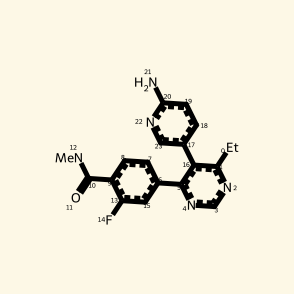 CCc1ncnc(-c2ccc(C(=O)NC)c(F)c2)c1-c1ccc(N)nc1